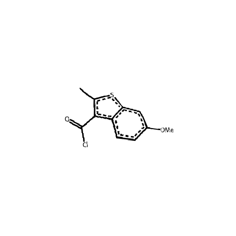 COc1ccc2c(C(=O)Cl)c(C)sc2c1